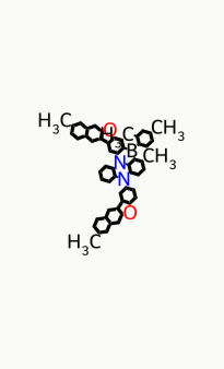 Cc1cc(C)c(B2c3cc4oc5cc6cc(C)ccc6cc5c4cc3N3c4ccccc4N(c4ccc5oc6cc7cc(C)ccc7cc6c5c4)c4cccc2c43)c(C)c1